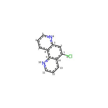 Clc1cc2ncccc2c2ncccc12